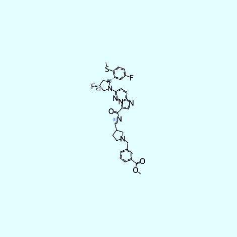 COC(=O)c1cccc(CN2CCC(/C=N/C(=O)c3cnc4ccc(N5C[C@@H](F)C[C@@H]5c5cc(F)ccc5SC)nn34)C2)c1